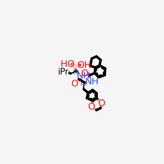 CC(C)C[C@H](NC(=O)[C@H](Cc1ccc2c(c1)OCCO2)NC(=O)c1cccc2c1CCCC2)B(O)O